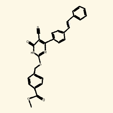 COC(=O)c1ccc(CSc2nc(-c3ccc(/C=C/c4ccccc4)cc3)c(C#N)c(=O)[nH]2)cc1